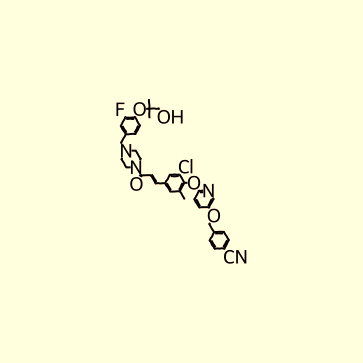 Cc1cc(C=CC(=O)N2CCN(Cc3ccc(OC(C)(C)CO)c(F)c3)CC2)cc(Cl)c1Oc1ccc(OCc2ccc(C#N)cc2)cn1